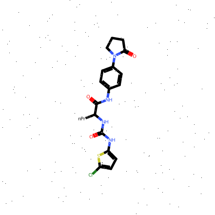 CCCC(NC(=O)Nc1ccc(Cl)s1)C(=O)Nc1ccc(N2CCCC2=O)cc1